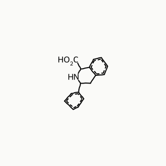 O=C(O)C1NC(c2ccccc2)Cc2ccccc21